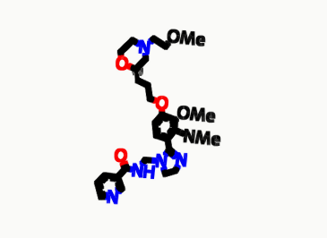 CNc1c(C2=NCCN2CNC(=O)c2cccnc2)ccc(OCCC[C@@H]2CN(CCOC)CCO2)c1OC